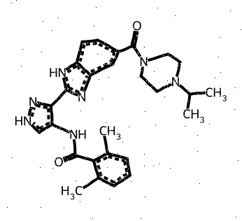 Cc1cccc(C)c1C(=O)Nc1c[nH]nc1-c1nc2cc(C(=O)N3CCN(C(C)C)CC3)ccc2[nH]1